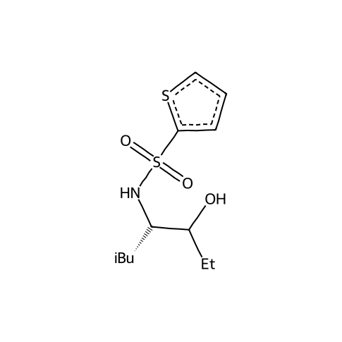 CCC(O)C(NS(=O)(=O)c1cccs1)[C@@H](C)CC